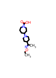 CCO/N=C(\C)C1CCN(C2CCCN(C(=O)O)CC2)CC1